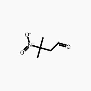 CC(C)(C[C]=O)[N+](=O)[O-]